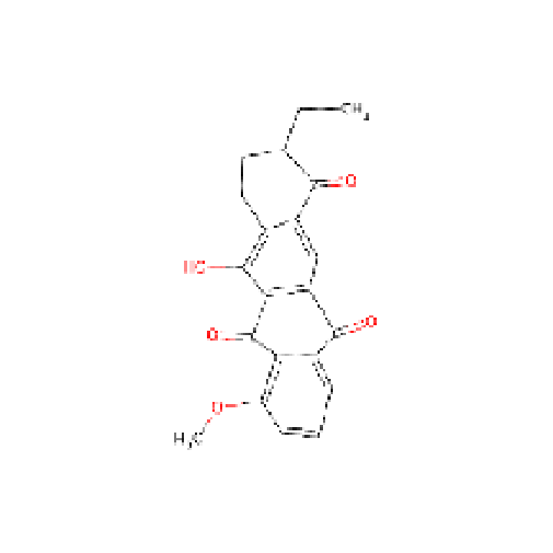 CCC1CCc2c(cc3c(c2O)C(=O)c2c(OC)cccc2C3=O)C1=O